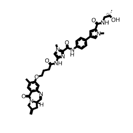 C=C1C[C@H]2C=Nc3cc(OCCCC(=O)Nc4cn(C)c(C(=O)Nc5ccc(-c6cc(C(=O)NC[C@H](C)O)n(C)c6)cc5)n4)c(C)cc3C(=O)N2C1